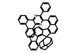 c1ccc(-c2nc3c4ccccc4c4ccccc4c3nc2-c2cccc3ccc4c(c23)-c2ccc3oc5ccccc5c3c2C42C3CC4CC(C3)CC2C4)cc1